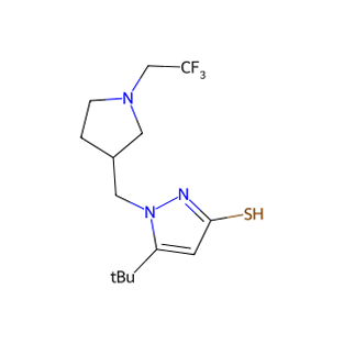 CC(C)(C)c1cc(S)nn1CC1CCN(CC(F)(F)F)C1